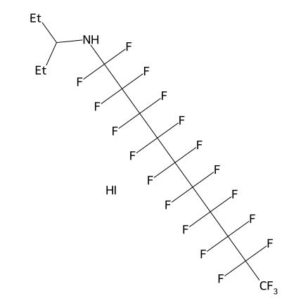 CCC(CC)NC(F)(F)C(F)(F)C(F)(F)C(F)(F)C(F)(F)C(F)(F)C(F)(F)C(F)(F)C(F)(F)C(F)(F)F.I